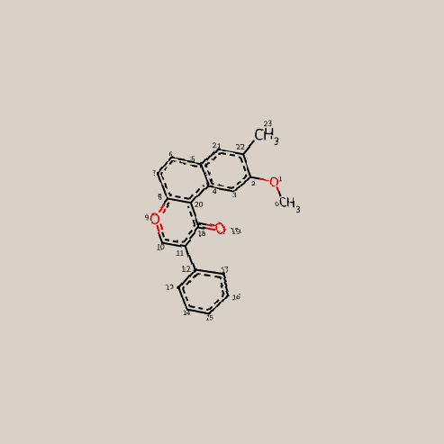 COc1cc2c(ccc3occ(-c4ccccc4)c(=O)c32)cc1C